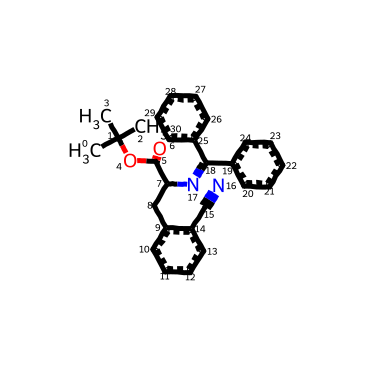 CC(C)(C)OC(=O)C(Cc1ccccc1C#N)N=C(c1ccccc1)c1ccccc1